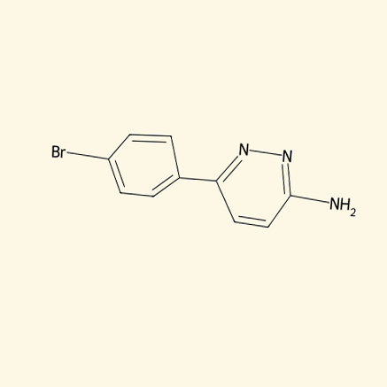 Nc1ccc(-c2ccc(Br)cc2)nn1